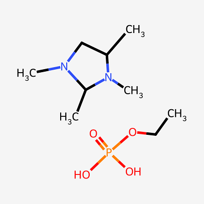 CC1CN(C)C(C)N1C.CCOP(=O)(O)O